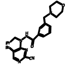 CC(C)CN(NC(=O)c1cccc(CN2CCOCC2)c1)c1nc(C#N)ncc1Br